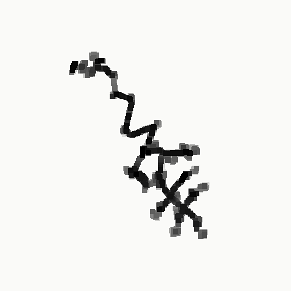 CCCCCCN1N=CN(C(F)(F)C(F)(F)F)C1F